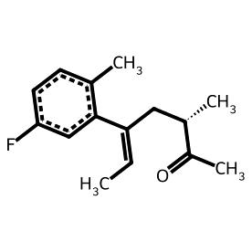 C/C=C(/C[C@H](C)C(C)=O)c1cc(F)ccc1C